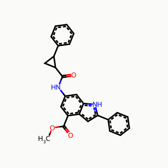 COC(=O)c1cc(NC(=O)C2CC2c2ccccc2)cc2[nH]c(-c3ccccc3)cc12